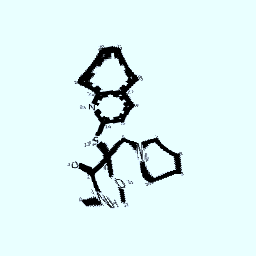 CNC(=O)C(CN1CCCC1)(OC)Sc1ccc2ccccc2n1